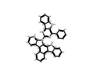 c1ccc(-c2nc(-n3c4ncccc4c4c5ccccc5c5c6ccccc6sc5c43)nc3c2oc2ccccc23)cc1